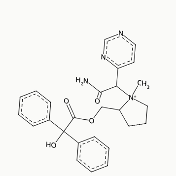 C[N+]1(C(C(N)=O)c2ccncn2)CCCC1COC(=O)C(O)(c1ccccc1)c1ccccc1